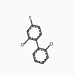 Fc1ccc(-c2ccc[c]c2Cl)c(Cl)c1